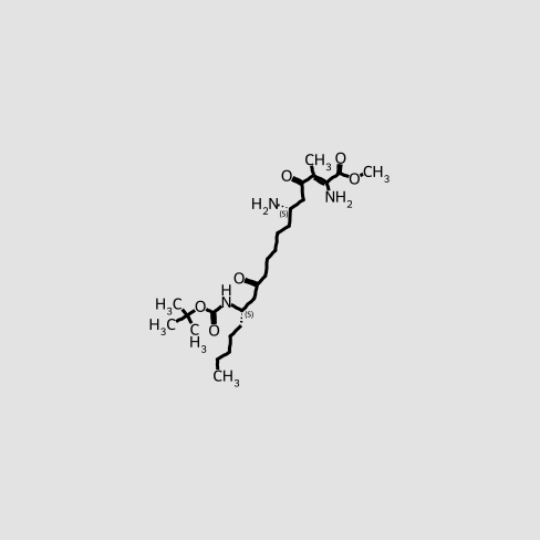 CCCCC[C@@H](CC(=O)CCCCC[C@H](N)CC(=O)C(C)=C(N)C(=O)OC)NC(=O)OC(C)(C)C